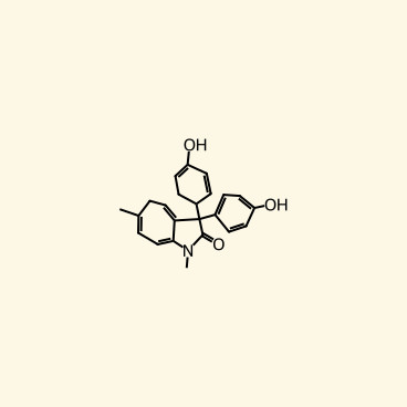 CC1=CC=C2C(=CC1)C(c1ccc(O)cc1)(C1C=CC(O)=CC1)C(=O)N2C